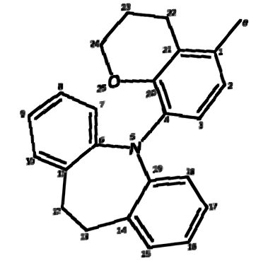 Cc1ccc(N2c3ccccc3CCc3ccccc32)c2c1CCCO2